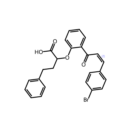 O=C(/C=C\c1ccc(Br)cc1)c1ccccc1OC(CCc1ccccc1)C(=O)O